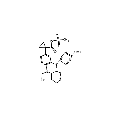 COc1ncc(Nc2cc(C3(C(=O)NS(C)(=O)=O)CC3)ccc2N(CC(C)C)C2CCOCC2)cn1